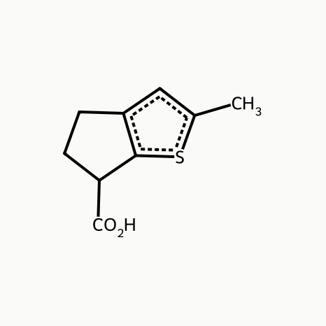 Cc1cc2c(s1)C(C(=O)O)CC2